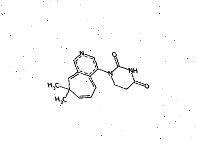 CC1(C)C=CC=c2c(N3CCC(=O)NC3=O)cncc2=C1